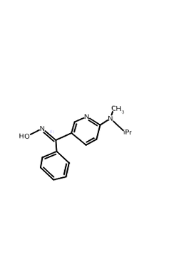 CC(C)N(C)c1ccc(/C(=N/O)c2ccccc2)cn1